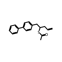 C=CCC(Cc1ccc(-c2ccccc2)cc1)SC(C)=O